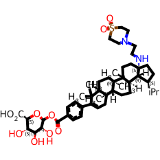 CC(C)[C@@H]1CC[C@]2(NCCN3CCS(=O)(=O)CC3)CC[C@]3(C)[C@H](CC[C@@H]4[C@@]5(C)CC=C(c6ccc(C(=O)OC7O[C@H](C(=O)O)[C@@H](O)[C@H](O)[C@H]7O)cc6)C(C)(C)[C@@H]5CC[C@]43C)[C@@H]12